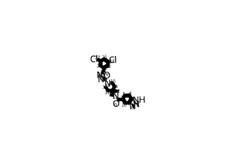 O=C(c1ccc2[nH]nnc2c1)N1CC2(CCN(c3nnc(-c4cc(Cl)cc(Cl)c4)o3)CC2)C1